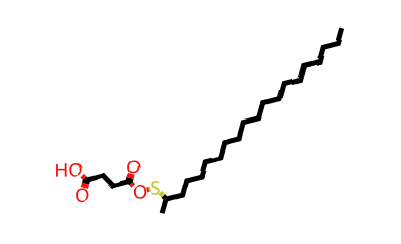 CCCCCCCCCCCCCCCCCCC(C)SOC(=O)CCC(=O)O